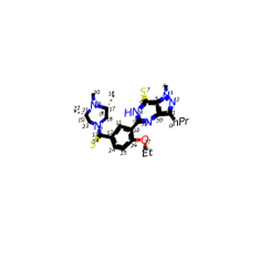 CCCc1nn(C)c2c(=S)[nH]c(-c3cc(C(=S)N4C[C@@H](C)N(C)[C@@H](C)C4)ccc3OCC)nc12